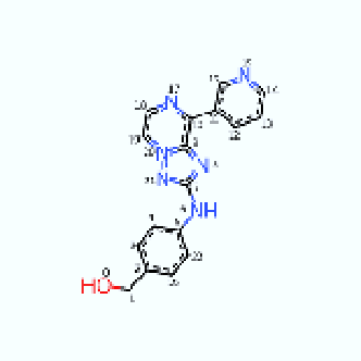 OCc1ccc(Nc2nc3c(-c4cccnc4)nccn3n2)cc1